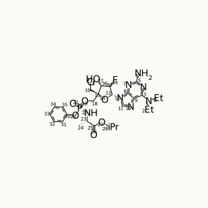 CCN(CC)c1nc(N)nc2c1ncn2[C@@H]1O[C@](CCl)(CO[P@@](=O)(N[C@@H](C)C(=O)OC(C)C)Oc2ccccc2)[C@@H](O)[C@H]1F